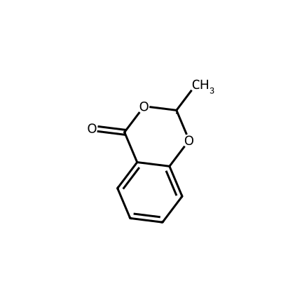 C[C]1OC(=O)c2ccccc2O1